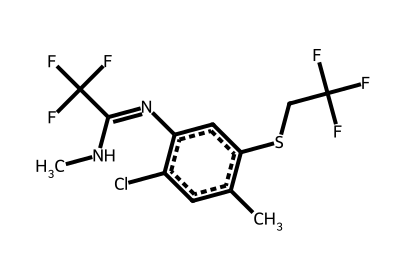 CN/C(=N\c1cc(SCC(F)(F)F)c(C)cc1Cl)C(F)(F)F